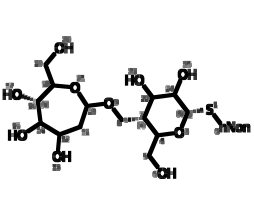 CCCCCCCCCS[C@@H]1OC(CO)[C@H](COC2CC(O)C(O)[C@H](O)C(CO)O2)C(O)C1O